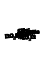 CCOC(=O)c1cnc2c(C(=O)OCC)cc(C#N)cc2c1NCc1ccc(OC)c(Cl)c1